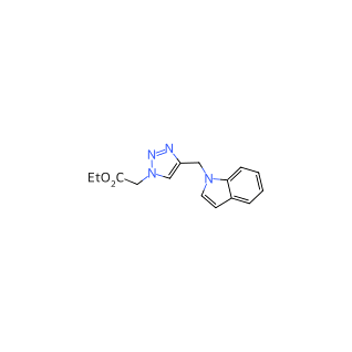 CCOC(=O)Cn1cc(Cn2ccc3ccccc32)nn1